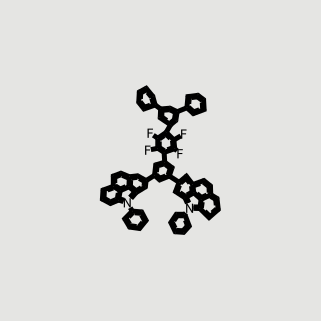 Fc1c(F)c(-c2cc(-c3cc4ccc5cccc6c5c4c(c3)n6-c3ccccc3)cc(-c3cc4ccc5cccc6c5c4c(c3)n6-c3ccccc3)c2)c(F)c(F)c1-c1cc(-c2ccccc2)cc(-c2ccccc2)c1